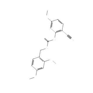 COc1ccc(C#N)c(NC(=O)NCc2ccc(OC)cc2OC)c1